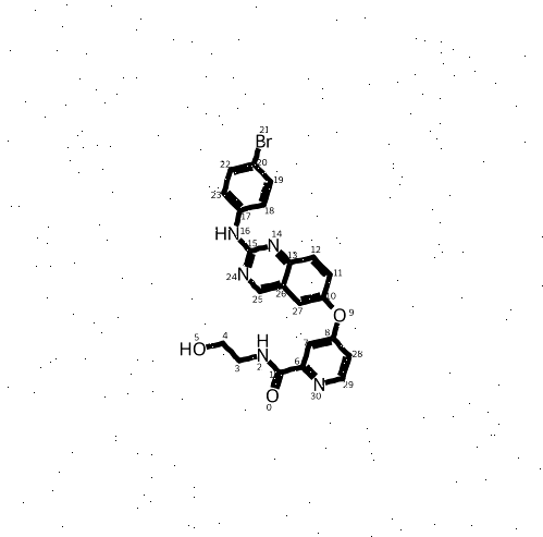 O=C(NCCO)c1cc(Oc2ccc3nc(Nc4ccc(Br)cc4)ncc3c2)ccn1